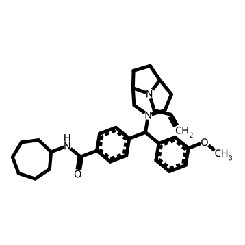 C=CCN1C2CCC1CN(C(c1ccc(C(=O)NC3CCCCCC3)cc1)c1cccc(OC)c1)CC2